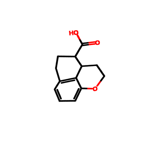 O=C(O)C1CCc2cccc3c2C1CCO3